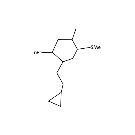 CCCC1CC(C)C(SC)CC1CCC1CC1